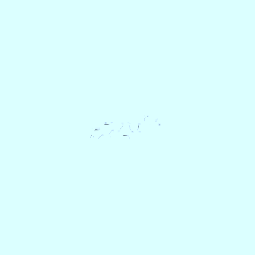 Cn1cc2cc(-c3ccc4cc([C@@H](O)CCC(F)(F)F)sc4c3)cnc2n1